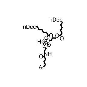 CCCCCCCCCCCCCCCC(=O)OCC(COP(=O)(O)OCCNC(=O)CCCC(C)=O)OC(=O)CCCCCCCCCCCCCCC